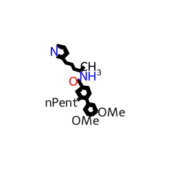 CCCCCc1cc(C(=O)NC(C)CCCc2cccnc2)ccc1-c1ccc(OC)c(OC)c1